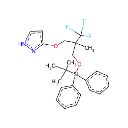 CC(COc1cc[nH]n1)(CO[Si](c1ccccc1)(c1ccccc1)C(C)(C)C)C(F)(F)F